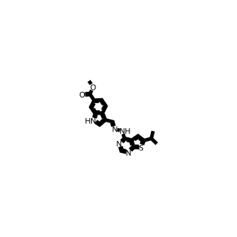 COC(=O)c1ccc2c(C=NNc3ncnc4sc(C(C)C)cc34)c[nH]c2c1